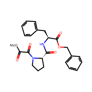 COC(=O)C(=O)N1CCC[C@H]1C(=O)N[C@@H](Cc1ccccc1)C(=O)OCc1ccccc1